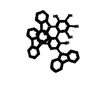 Oc1c(O)c(O)c(-n2c3ccccc3c3ccccc32)c(-c2c(O)c(-n3c4ccccc4c4ccccc43)nc(-n3c4ccccc4c4ccccc43)c2O)c1O